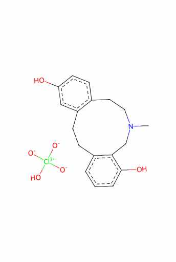 CN1CCc2ccc(O)cc2CCc2cccc(O)c2C1.[O-][Cl+3]([O-])([O-])O